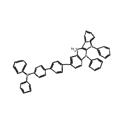 c1ccc(N(c2ccccc2)c2ccc(-c3ccc(-c4ccc5c(c4)[SiH2]c4c(n(-c6ccccc6)c6ccccc46)N5c4ccccc4)cc3)cc2)cc1